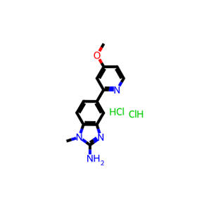 COc1ccnc(-c2ccc3c(c2)nc(N)n3C)c1.Cl.Cl